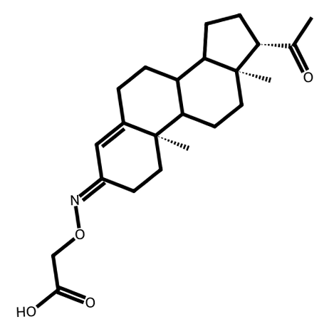 CC(=O)[C@H]1CCC2C3CCC4=C/C(=N/OCC(=O)O)CC[C@]4(C)C3CC[C@@]21C